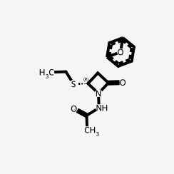 CCS[C@@H]1CC(=O)N1NC(C)=O.c1cc2cc(c1)O2